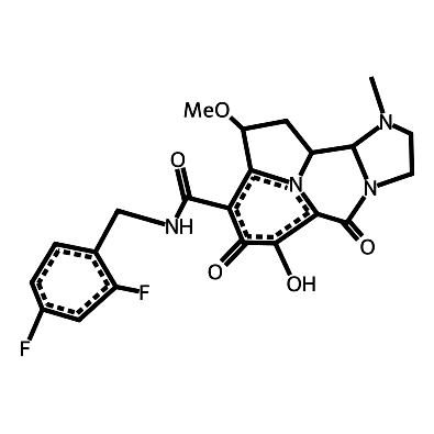 COC1CC2C3N(C)CCN3C(=O)c3c(O)c(=O)c(C(=O)NCc4ccc(F)cc4F)c1n32